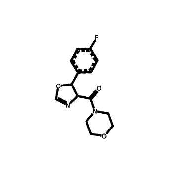 O=C(C1N=COC1c1ccc(F)cc1)N1CCOCC1